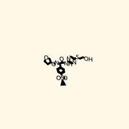 O=C(Nc1cnc(SCCO)cn1)/C(=N/O[C@@H]1CCOC1)c1ccc(S(=O)(=O)C2CC2)cc1